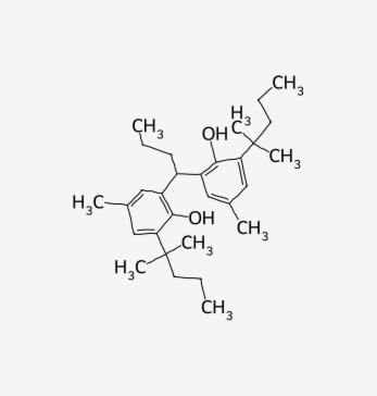 CCCC(c1cc(C)cc(C(C)(C)CCC)c1O)c1cc(C)cc(C(C)(C)CCC)c1O